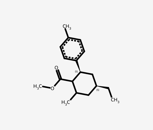 CC[C@H]1CC(C)C(C(=O)OC)[C@@H](c2ccc(C)cc2)C1